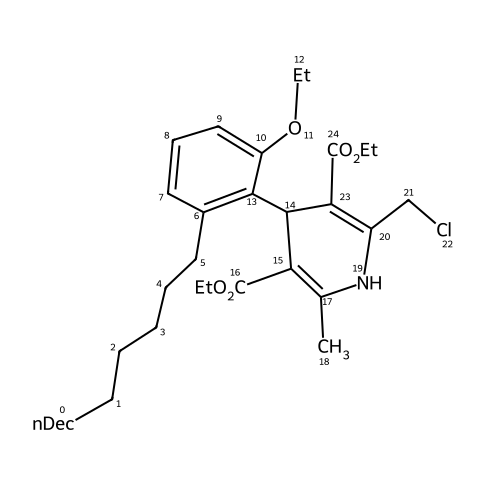 CCCCCCCCCCCCCCCc1cccc(OCC)c1C1C(C(=O)OCC)=C(C)NC(CCl)=C1C(=O)OCC